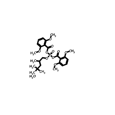 COc1cccc(OC)c1C(=O)OP(=O)(OCC(C)CC(C)(C)C)OC(=O)c1c(OC)cccc1OC.O